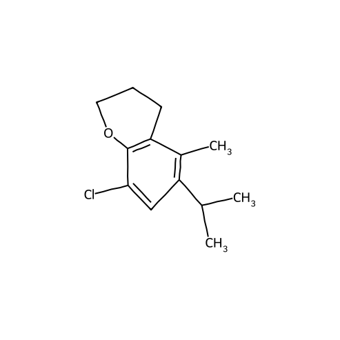 Cc1c(C(C)C)cc(Cl)c2c1CCCO2